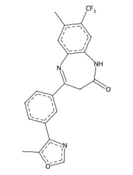 Cc1cc2c(cc1C(F)(F)F)NC(=O)CC(c1cccc(-c3ncoc3C)c1)=N2